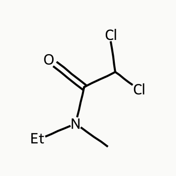 [CH2]CN(C)C(=O)C(Cl)Cl